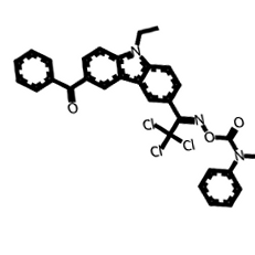 CCn1c2ccc(C(=O)c3ccccc3)cc2c2cc(/C(=N/OC(=O)N(C)c3ccccc3)C(Cl)(Cl)Cl)ccc21